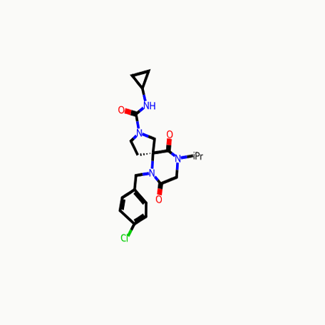 CC(C)N1CC(=O)N(Cc2ccc(Cl)cc2)[C@]2(CCN(C(=O)NC3CC3)C2)C1=O